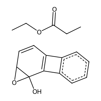 CCOC(=O)CC.OC12OC1C=CC1=C2c2ccccc21